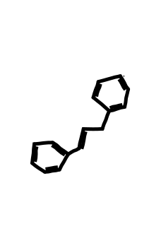 [c]1ccc(C/C=C/c2ccccc2)cc1